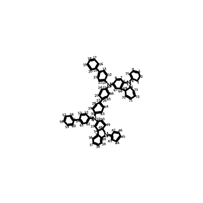 C1=CCCC(N2c3ccc(N(c4ccc(-c5ccccc5)cc4)c4ccc(-c5ccc(N(C6=CC7c8ccccc8N(c8ccccc8)C7C=C6)c6ccc(-c7ccccc7)cc6)cc5)cc4)cc3C3C=CC=CC32)=C1